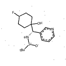 CC(C)(C)[S+]([O-])N[C@@H](c1cccnc1)C1(O)CCC(F)CC1